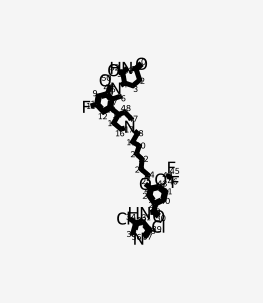 O=C1CCC(N2Cc3c(cc(F)cc3C3CCN(CCCCCCCOc4cc(C(=O)Nc5c(Cl)cncc5Cl)ccc4OC(F)F)CC3)C2=O)C(=O)N1